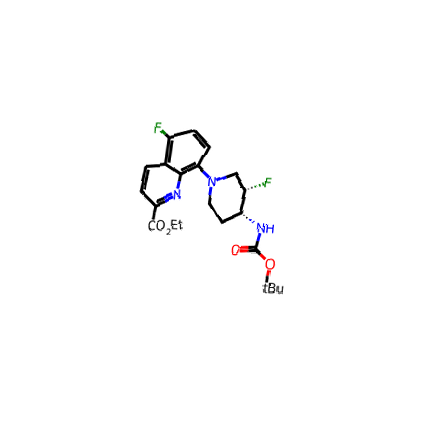 CCOC(=O)c1ccc2c(F)ccc(N3CC[C@@H](NC(=O)OC(C)(C)C)[C@@H](F)C3)c2n1